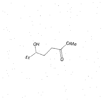 CCC(O)CCC(=O)OC